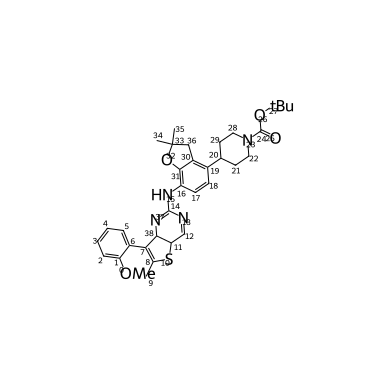 COc1ccccc1C1=C(C)SC2C=NC(Nc3ccc(C4CCN(C(=O)OC(C)(C)C)CC4)c4c3OC(C)(C)C4)=NC12